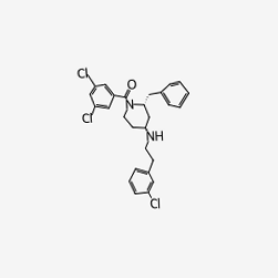 O=C(c1cc(Cl)cc(Cl)c1)N1CC[C@H](NCCc2cccc(Cl)c2)C[C@H]1Cc1ccccc1